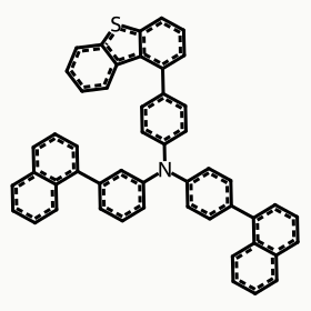 c1cc(-c2cccc3ccccc23)cc(N(c2ccc(-c3cccc4ccccc34)cc2)c2ccc(-c3cccc4sc5ccccc5c34)cc2)c1